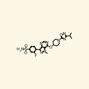 CC(C)c1noc(N2CCC(Oc3ncnc4c(-c5ccc(S(N)(=O)=O)cc5F)nn(C)c34)CC2)n1